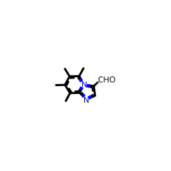 Cc1c(C)c(C)n2c(C=O)cnc2c1C